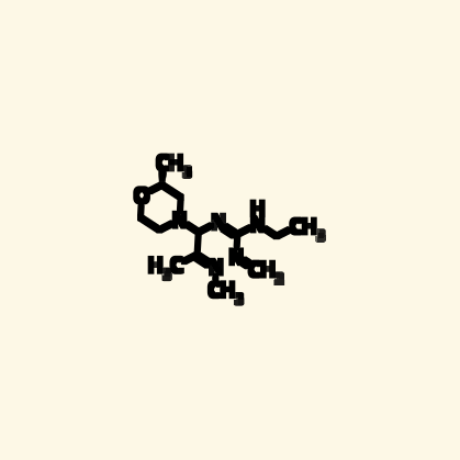 C=N/C(=N\C(/C(C)=N/C)N1CCO[C@@H](C)C1)NCC